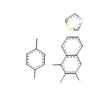 CCc1cc2ccccc2c(O)c1C.Cc1ccc(S(=O)(=O)O)cc1.c1cscn1